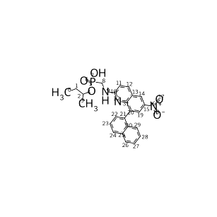 CCC(C)OP(=O)(O)CNc1ccc2cc([N+](=O)[O-])cc(-c3cccc4ccccc34)c2n1